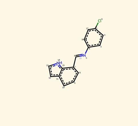 Clc1ccc(/N=C/c2cccc3cc[nH]c23)cc1